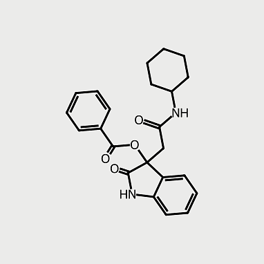 O=C(CC1(OC(=O)c2ccccc2)C(=O)Nc2ccccc21)NC1CCCCC1